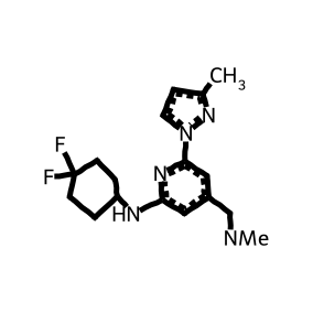 CNCc1cc(NC2CCC(F)(F)CC2)nc(-n2ccc(C)n2)c1